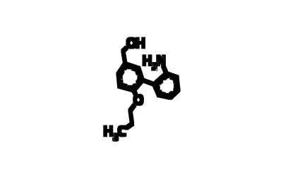 CCCOc1ccc(CO)cc1-c1ccccc1N